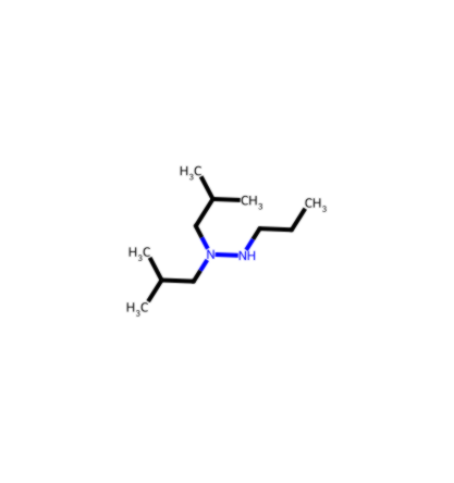 CCCNN(CC(C)C)CC(C)C